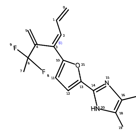 C=C/C=C(\C(=C)C(C)(F)F)c1ccc(-c2nc(C)c(C)[nH]2)o1